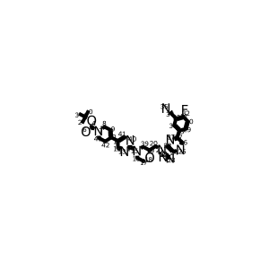 CC(C)(C)OC(=O)N1CC=C(c2cnc(N3CCOC(Cn4nnc5ncc(-c6ccc(F)c(C#N)c6)nc54)C3)nc2)CC1